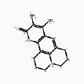 Bc1c(B)c2cc3c4c(c2oc1=O)CCCN4CCC3